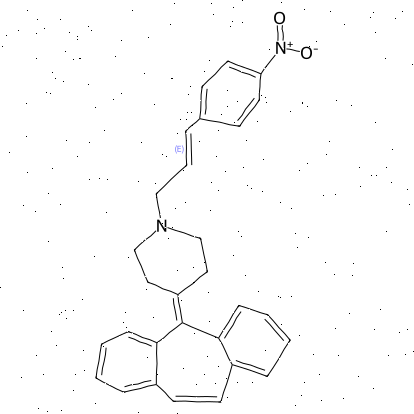 O=[N+]([O-])c1ccc(/C=C/CN2CCC(=C3c4ccccc4C=Cc4ccccc43)CC2)cc1